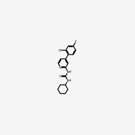 O=C(Nc1cc(-c2ccc(F)cc2Cl)ccn1)NC1CCCCC1